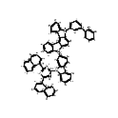 c1ccc(-c2cccc(-n3c4ccccc4c4c5c6ccccc6n(-c6ccc7c8ccccc8n(-c8nc(-c9cccc%10ccccc9%10)nc(-c9cccc%10ccccc9%10)n8)c7c6)c5ccc43)c2)cc1